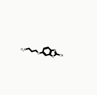 N#Cc1nc2ccc(OCCC[N+](=O)[O-])cc2s1